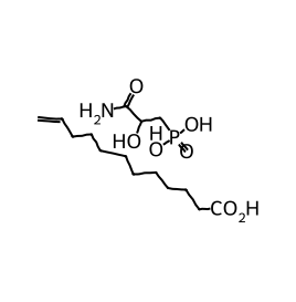 C=CCCCCCCCCCC(=O)O.NC(=O)C(O)CP(=O)(O)O